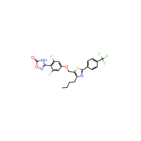 CCCCc1nc(-c2ccc(C(F)(F)F)cc2)sc1COc1cc(F)c(-c2noc(=O)[nH]2)c(F)c1